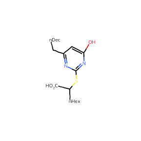 CCCCCCCCCCCc1cc(O)nc(SC(CCCCCC)C(=O)O)n1